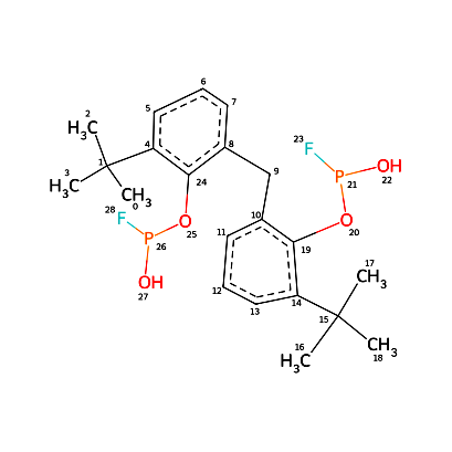 CC(C)(C)c1cccc(Cc2cccc(C(C)(C)C)c2OP(O)F)c1OP(O)F